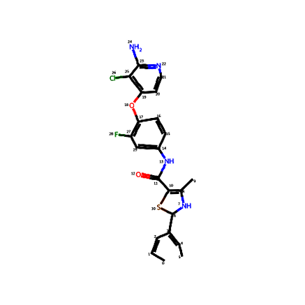 C/C=C\C(=C/C)C1NC(C)=C(C(=O)Nc2ccc(Oc3ccnc(N)c3Cl)c(F)c2)S1